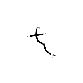 CCCCCCCC(O)(I)I